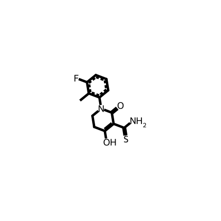 Cc1c(F)cccc1N1CCC(O)=C(C(N)=S)C1=O